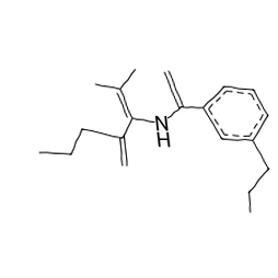 C=C(CCC)C(NC(=C)c1cccc(CCC)c1)=C(C)C